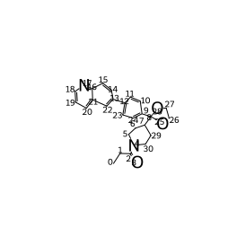 CCC(=O)N1CCC(C2(c3ccc(-c4ccc5ncccc5c4)cc3)OCCO2)CC1